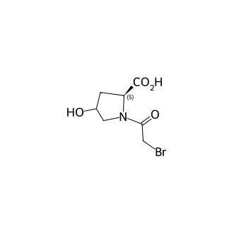 O=C(O)[C@@H]1CC(O)CN1C(=O)CBr